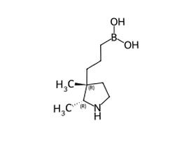 C[C@H]1NCC[C@@]1(C)CCCB(O)O